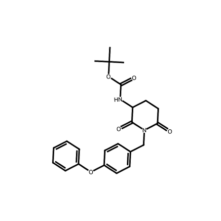 CC(C)(C)OC(=O)NC1CCC(=O)N(Cc2ccc(Oc3ccccc3)cc2)C1=O